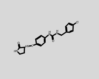 O=C(NCc1ccc(Cl)cc1)Nc1ccc(CNC2CCNC2=O)cc1